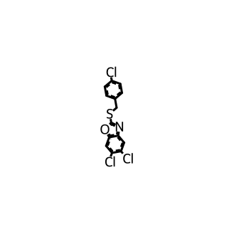 Clc1ccc(CSc2nc3cc(Cl)c(Cl)cc3o2)cc1